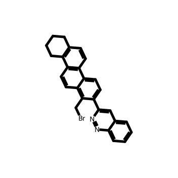 BrCc1c(-c2cc3ccccc3nn2)ccc2c1ccc1c3c(ccc12)CCCC3